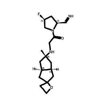 C[C@@]1(NCC(=O)N2C[C@@H](F)C[C@H]2C=N)C[C@H]2CC3(CCO3)C[C@H]2C1